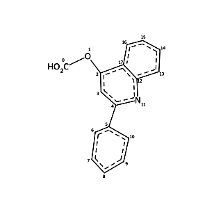 O=C(O)Oc1cc(-c2ccccc2)nc2ccccc12